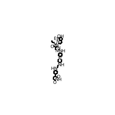 C=CCn1c(=O)c2cnc(Nc3ccc(N4CCC(NCCNc5ccc(C6CCC(=O)NC6=O)cc5)CC4)cc3)nc2n1-c1ccc2c(n1)[C@@](O)(CC)CC2